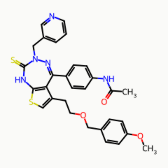 COc1ccc(COCCc2csc3c2C(c2ccc(NC(C)=O)cc2)=NN(Cc2cccnc2)C(=S)N3)cc1